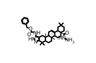 CC1(C)CC[C@]2(C(=O)NN)CC[C@]3(C)C(=CCC4[C@@]5(C)Cc6c(n[nH]c6NC(=O)OCc6ccccc6)C(C)(C)C5CC[C@]43C)C2C1